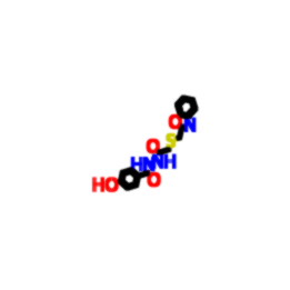 O=C(CSCc1nc2ccccc2o1)NNC(=O)c1ccc(O)cc1